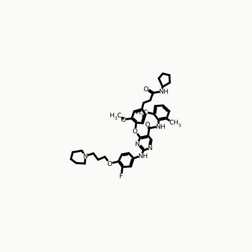 COc1cc(CCC(=O)NC2CCCC2)ccc1Oc1nc(Nc2ccc(OCCCN3CCCCC3)c(F)c2)ncc1C(=O)Nc1c(C)cccc1C